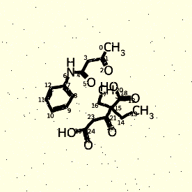 CC(=O)CC(=O)Nc1ccccc1.CCC(CC)(C(=O)O)C(=O)CC(=O)O